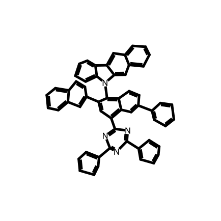 c1ccc(-c2ccc3c(-n4c5ccccc5c5cc6ccccc6cc54)c(-c4ccc5ccccc5c4)cc(-c4nc(-c5ccccc5)nc(-c5ccccc5)n4)c3c2)cc1